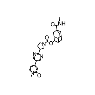 Cn1ccc(-c2cnc(C3CCN(C(=O)OC4C5CC6CC4CC(C(=O)NI)(C6)C5)C3)nc2)cc1=O